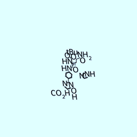 CC(C)(C)OC(=O)N[C@@H](CCC(N)=O)C(=O)Nc1ccc(-c2ncc(C(=O)O)c(O)n2)cc1.c1c[nH]cn1